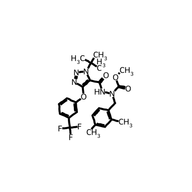 COC(=O)N(Cc1ccc(C)cc1C)NC(=O)c1c(Oc2cccc(C(F)(F)F)c2)nnn1C(C)(C)C